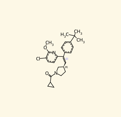 COc1nc(/C(=C\[C@H]2CCN(C(=O)C3CC3)C2)c2ccc(C(C)(C)C)cc2)ccc1Cl